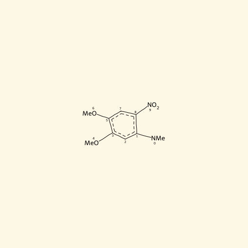 CNc1cc(OC)c(OC)cc1[N+](=O)[O-]